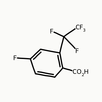 O=C(O)c1ccc(F)cc1C(F)(F)C(F)(F)F